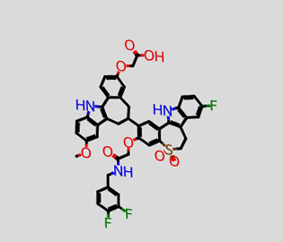 COc1ccc2[nH]c3c(c2c1)CC(c1cc2c(cc1OCC(=O)NCc1ccc(F)c(F)c1)S(=O)(=O)CCc1c-2[nH]c2ccc(F)cc12)Cc1cc(OCC(=O)O)ccc1-3